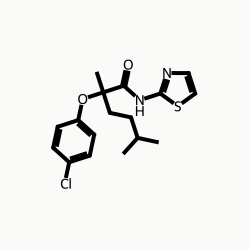 CC(C)CCC(C)(Oc1ccc(Cl)cc1)C(=O)Nc1nccs1